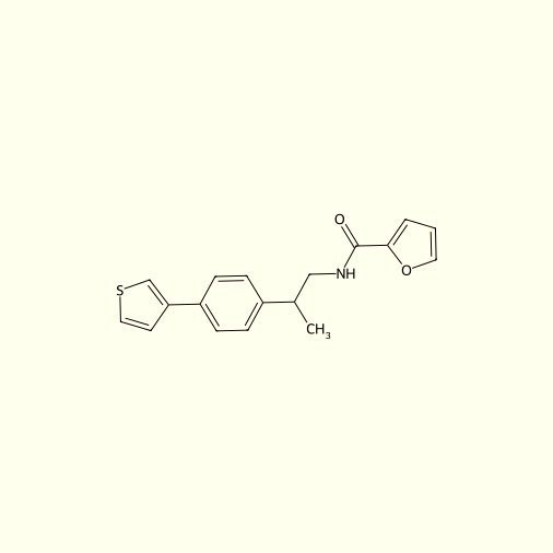 CC(CNC(=O)c1ccco1)c1ccc(-c2ccsc2)cc1